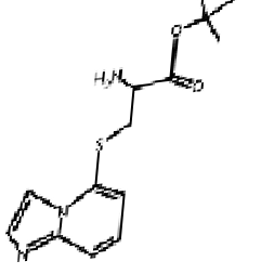 CC(C)(C)OC(=O)C(N)CSc1cccc2nccn12